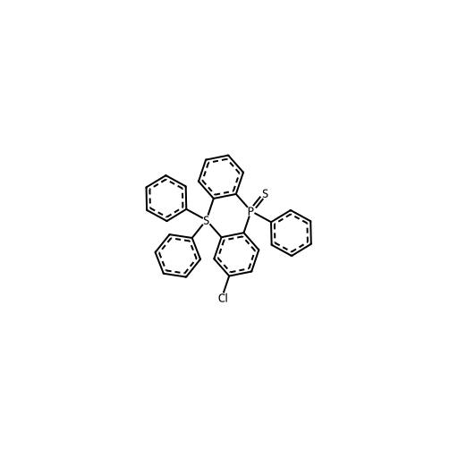 S=P1(c2ccccc2)c2ccccc2S(c2ccccc2)(c2ccccc2)c2cc(Cl)ccc21